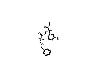 COC(=O)C(C)(CCC(=O)C(C)(C)COCc1ccccc1)c1cccc(Br)c1